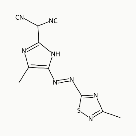 [C-]#[N+]C([N+]#[C-])c1nc(C)c(/N=N/c2nc(C)ns2)[nH]1